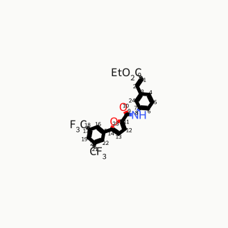 CCOC(=O)C=Cc1cccc(NC(=O)c2ccc(-c3cc(C(F)(F)F)cc(C(F)(F)F)c3)o2)c1